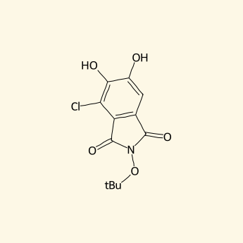 CC(C)(C)ON1C(=O)c2cc(O)c(O)c(Cl)c2C1=O